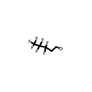 [O]CCC(F)(F)C(F)(F)C(F)(F)F